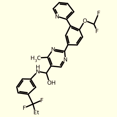 CCC(F)(F)c1cccc(NC(O)c2cnc(-c3ccc(OC(F)F)c(-c4ccccn4)c3)nc2C)c1